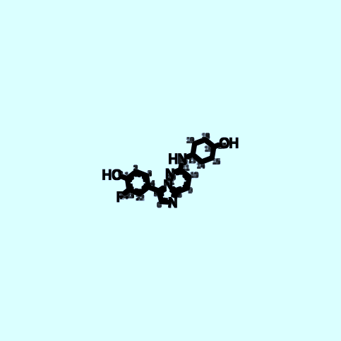 Oc1ccc(-c2cnc3ccc(NC4CCC(O)CC4)nn23)cc1F